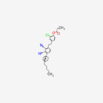 CCCCCC12CCC(c3ccc(CCc4ccc(OC(=O)CC)c(Cl)c4)c(C#N)c3C#N)(CC1)CC2